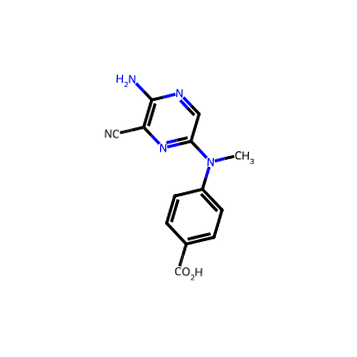 CN(c1ccc(C(=O)O)cc1)c1cnc(N)c(C#N)n1